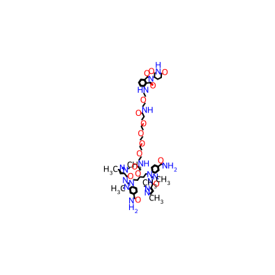 CCn1nc(C)cc1C(=O)N=c1n(C)c2cc(C(N)=O)ccc2n1CCC(CCn1c(=NC(=O)c2cc(C)nn2CC)n(C)c2cc(C(N)=O)ccc21)OCC(=O)NCCOCCOCCOCCOCCC(=O)NCCOCCNc1cccc2c1C(=O)N(C1CCC(=O)NC1=O)C2=O